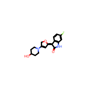 O=C1Nc2cc(F)ccc2C1=C1C=C(N2CCC(O)CC2)CO1